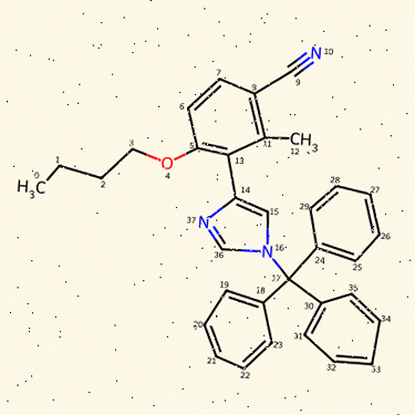 CCCCOc1ccc(C#N)c(C)c1-c1cn(C(c2ccccc2)(c2ccccc2)c2ccccc2)cn1